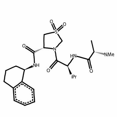 CN[C@@H](C)C(=O)N[C@H](C(=O)N1CS(=O)(=O)C[C@H]1C(=O)N[C@@H]1CCCc2ccccc21)C(C)C